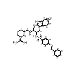 Cl.N=C(N)N1CCCC(CNC(=O)C(Cc2c[nH]c3ccccc23)NS(=O)(=O)c2ccc(OCc3ccccc3)cc2)C1